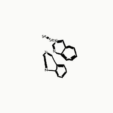 [Se]=[Se].c1ccc2ncncc2c1.c1ccc2ncncc2c1